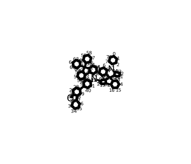 c1ccc(N2c3ccccc3C3(c4ccccc4-c4ccc(N(c5ccc(-c6ccc7oc8ccccc8c7c6)cc5)c5cccc6c5-c5ccccc5C6(c5ccccc5)c5ccccc5)cc43)c3ccccc32)cc1